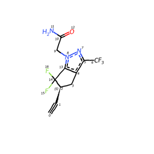 C#C[C@@H]1Cc2c(C(F)(F)F)nn(CC(N)=O)c2C1(F)F